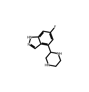 Fc1cc(C2CNCCN2)c2cn[nH]c2c1